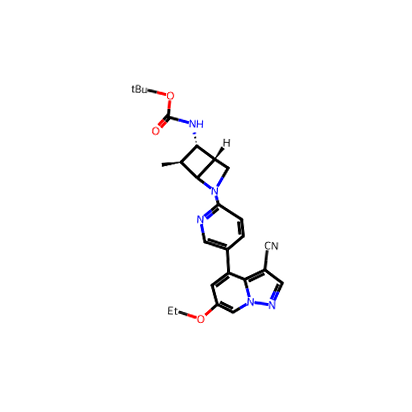 CCOc1cc(-c2ccc(N3C[C@@H]4C3[C@@H](C)[C@@H]4NC(=O)OC(C)(C)C)nc2)c2c(C#N)cnn2c1